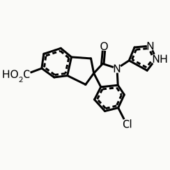 O=C(O)c1ccc2c(c1)CC1(C2)C(=O)N(c2cn[nH]c2)c2cc(Cl)ccc21